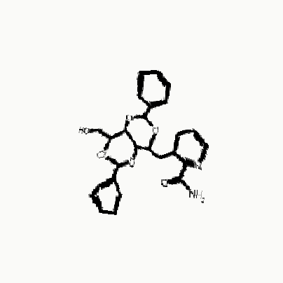 NC(=O)c1ncccc1CC1OC(c2ccccc2)OC2C(CO)OC(c3ccccc3)OC12